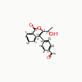 CC(O)c1oc(=O)c2ccccc2c1-c1ccc(C=O)cc1